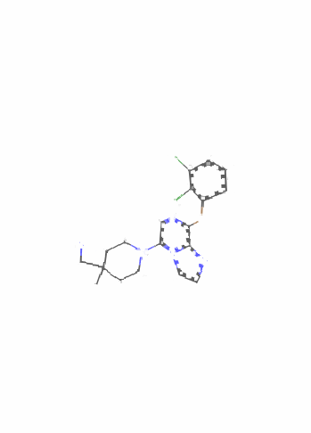 CC1(CN)CCN(c2cnc(Sc3cccc(Cl)c3Cl)c3nccn23)CC1